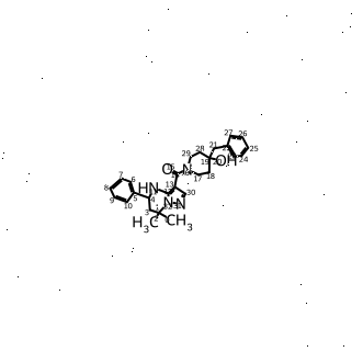 CC1(C)CC(c2ccccc2)Nc2c(C(=O)N3CCC(O)(Cc4ccccc4)CC3)cnn21